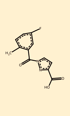 Cc1ccc(F)cc1C(=O)n1ccc(C(=O)O)n1